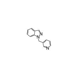 c1cncc(Cn2ncc3ccccc32)c1